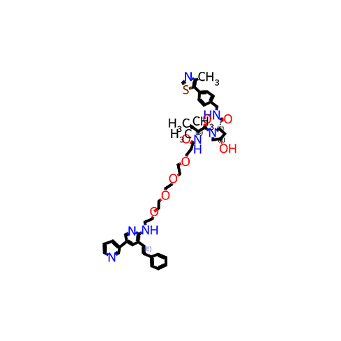 Cc1ncsc1-c1ccc(CNC(=O)[C@@H]2C[C@@H](O)CN2C(=O)[C@@H](NC(=O)CCOCCOCCOCCOCCNc2ncc(-c3cccnc3)cc2/C=C/c2ccccc2)C(C)(C)C)cc1